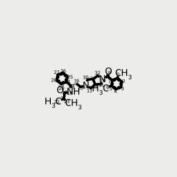 Cc1cccc(C)c1C(=O)N1CC2CN(CC[C@H](NC(=O)C(C)C)c3ccccc3)CC2C1